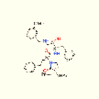 COc1cccc(CNC[C@H](O)[C@H](Cc2ccccc2)NC(=O)[C@H](CCc2ccccc2)N2CC[C@](CC(C)C)(NC(C)=O)C2=O)c1